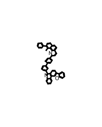 Cc1c(-c2ccccc2)ccc2ccc3ccc(-c4ccc(-c5cccc(-c6nc7ccccc7c7c6ccc6c8ccccc8oc67)c5)cc4)nc3c12